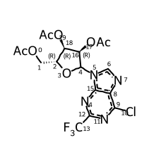 CC(=O)OC[C@H]1OC(n2cnc3c(Cl)nc(C(F)(F)F)nc32)[C@H](OC(C)=O)[C@@H]1OC(C)=O